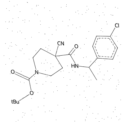 CC(NC(=O)C1(C#N)CCN(C(=O)OC(C)(C)C)CC1)c1ccc(Cl)cc1